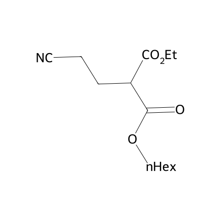 CCCCCCOC(=O)C(CCC#N)C(=O)OCC